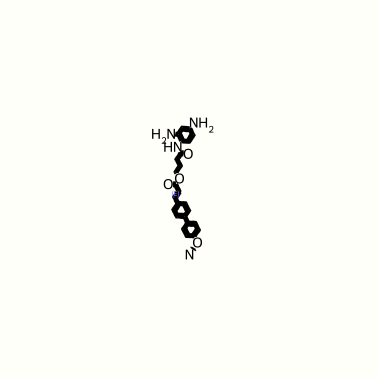 N#COc1ccc(-c2ccc(/C=C/C(=O)OCCCC(=O)Nc3ccc(N)cc3N)cc2)cc1